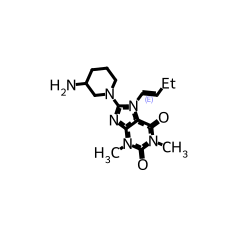 CC/C=C/n1c(N2CCCC(N)C2)nc2c1c(=O)n(C)c(=O)n2C